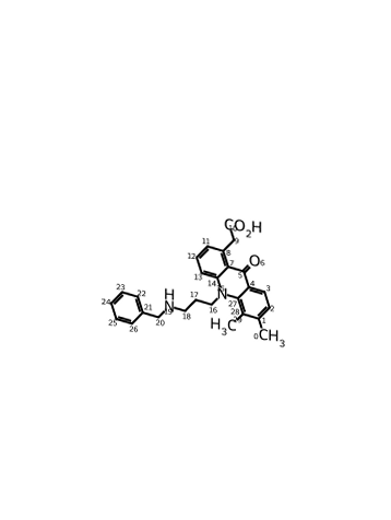 Cc1ccc2c(=O)c3c(CC(=O)O)cccc3n(CCCNCc3ccccc3)c2c1C